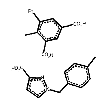 CCc1cc(C(=O)O)cc(C(=O)O)c1C.Cc1ccc(Cn2ccc(C(=O)O)n2)cc1